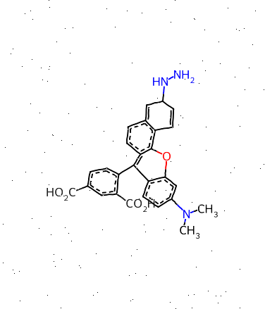 CN(C)c1ccc2c(c1)Oc1c3c(ccc1=C2c1ccc(C(=O)O)cc1C(=O)O)=CC(NN)C=C3